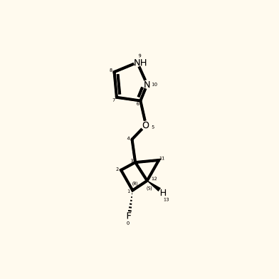 F[C@@H]1CC2(COc3cc[nH]n3)C[C@H]12